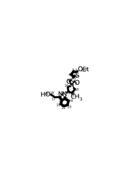 CCOc1ccc(S(=O)(=O)N2C[C@@H](C)[C@@H](n3nc(CCO)c4ccccc43)C2)s1